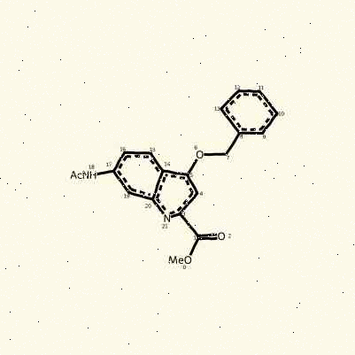 COC(=O)c1cc(OCc2ccccc2)c2ccc(NC(C)=O)cc2n1